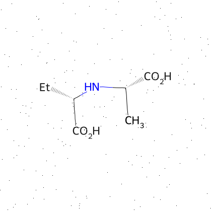 CC[C@H](N[C@@H](C)C(=O)O)C(=O)O